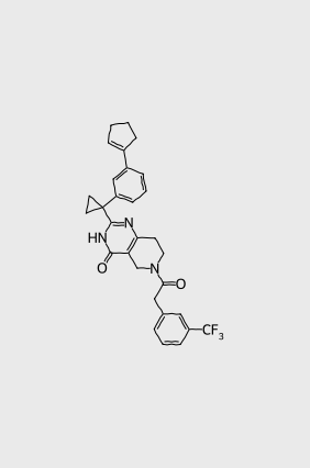 O=C(Cc1cccc(C(F)(F)F)c1)N1CCc2nc(C3(c4cccc(C5=CCCC5)c4)CC3)[nH]c(=O)c2C1